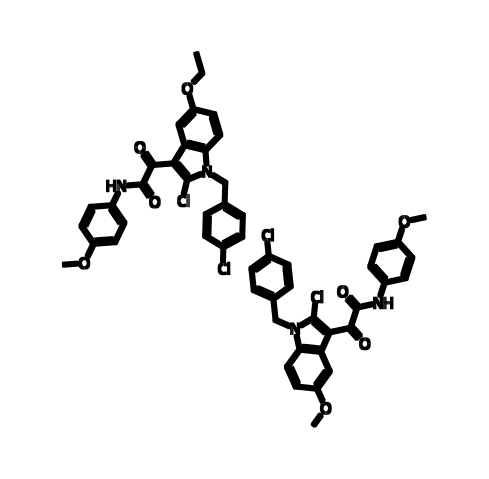 CCOc1ccc2c(c1)c(C(=O)C(=O)Nc1ccc(OC)cc1)c(Cl)n2Cc1ccc(Cl)cc1.COc1ccc(NC(=O)C(=O)c2c(Cl)n(Cc3ccc(Cl)cc3)c3ccc(OC)cc23)cc1